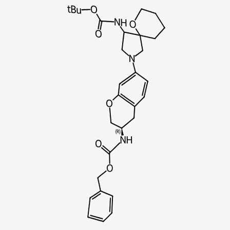 CC(C)(C)OC(=O)NC1CN(c2ccc3c(c2)OC[C@H](NC(=O)OCc2ccccc2)C3)CC12CCCCO2